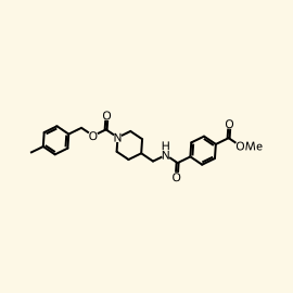 COC(=O)c1ccc(C(=O)NCC2CCN(C(=O)OCc3ccc(C)cc3)CC2)cc1